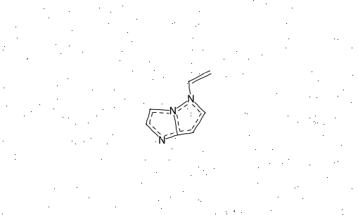 C=Cn1ccc2nccn21